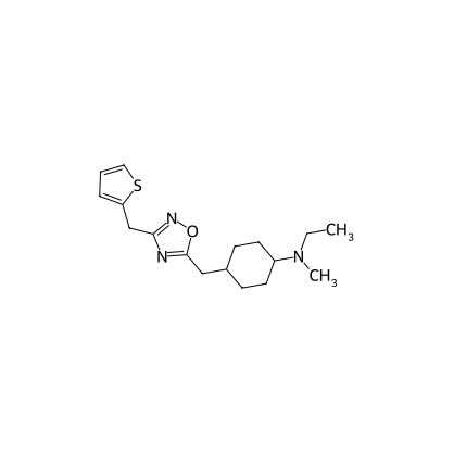 CCN(C)C1CCC(Cc2nc(Cc3cccs3)no2)CC1